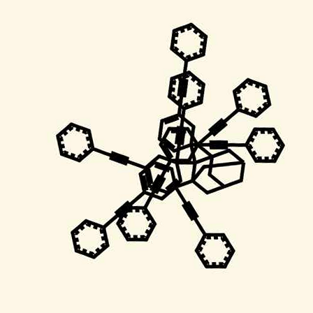 C(#Cc1ccccc1)C1=CC=CC(C#Cc2ccccc2)(C23CC4CC(C2)CC(C2(C#Cc5ccccc5)C=CC=C(C#Cc5ccccc5)C2)(C4)C3(C2(C#Cc3ccccc3)C=CC=C(C#Cc3ccccc3)C2)C2(C#Cc3ccccc3)C=CC=C(C#Cc3ccccc3)C2)C1